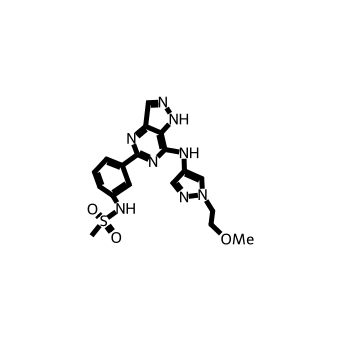 COCCn1cc(Nc2nc(-c3cccc(NS(C)(=O)=O)c3)nc3cn[nH]c23)cn1